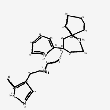 Cc1[nH]ncc1CNCC[C@@]1(c2ccccn2)CCOC2(CCCC2)C1